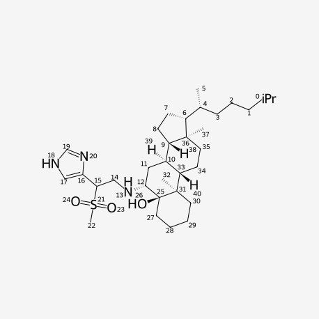 CC(C)CCC[C@@H](C)[C@H]1CC[C@H]2[C@@H]3C[C@@H](NCC(c4c[nH]cn4)S(C)(=O)=O)[C@@]4(O)CCCC[C@]4(C)[C@H]3CC[C@]12C